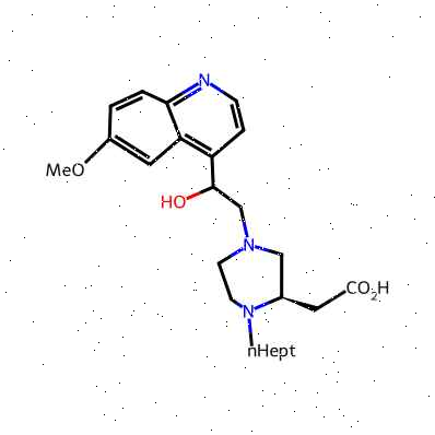 CCCCCCCN1CCN(CC(O)c2ccnc3ccc(OC)cc23)C[C@H]1CC(=O)O